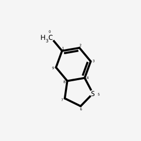 CC1=CC=C2SCCC2C1